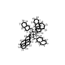 c1ccc2cc(SC(Sc3ccc4ccccc4c3)(Sc3ccc4ccccc4c3)C(Sc3ccc4ccccc4c3)(Sc3ccc4ccccc4c3)Sc3ccc4ccccc4c3)ccc2c1